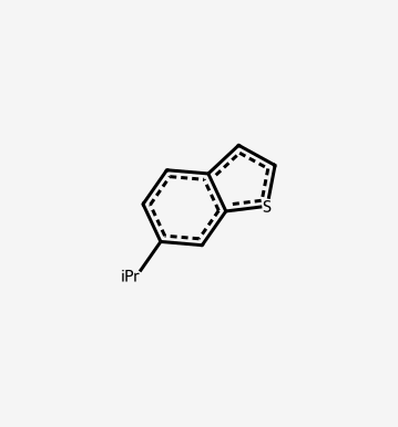 CC(C)c1ccc2ccsc2c1